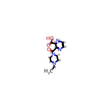 CCN1CCN(C(=O)c2nccnc2C(=O)O)CC1